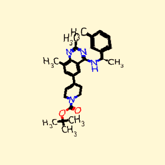 Cc1cccc([C@@H](C)Nc2nc(C)nc3c(C)cc(C4=CCN(C(=O)OC(C)(C)C)CC4)cc23)c1